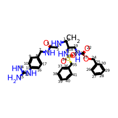 C=C(NCC(=O)NCc1ccc(NC(=N)N)cc1)C(CNC(=O)OCc1ccccc1)NS(=O)(=O)Cc1ccccc1